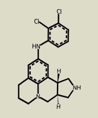 Clc1cccc(Nc2cc3c4c(c2)[C@@H]2CNC[C@H]2CN4CCC3)c1Cl